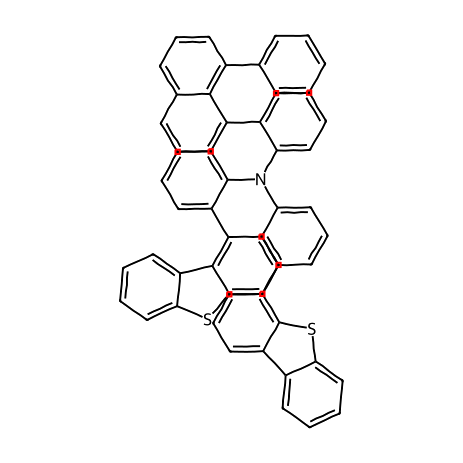 c1ccc(-c2cccc3cccc(-c4ccccc4N(c4cccc(-c5cccc6c5sc5ccccc56)c4)c4ccccc4-c4cccc5sc6ccccc6c45)c23)cc1